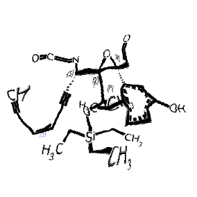 C#C/C=C\C#C[C@H](N=C=O)[C@]1([C@@H](C)O[Si](CC)(CC)CC)O[C@]1(C=O)c1cc(O)ccc1C